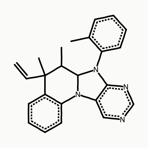 C=CC1(C)c2ccccc2N2c3cncnc3N(c3ccccc3C)C2C1C